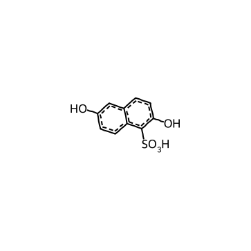 O=S(=O)(O)c1c(O)ccc2cc(O)ccc12